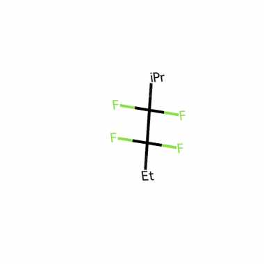 CCC(F)(F)C(F)(F)C(C)C